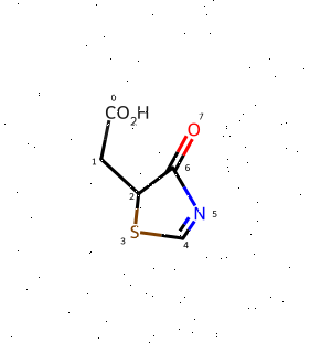 O=C(O)CC1SC=NC1=O